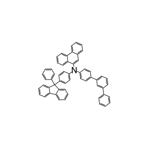 c1ccc(-c2cccc(-c3ccc(N(c4ccc(C5(c6ccccc6)c6ccccc6-c6ccccc65)cc4)c4cc5ccccc5c5ccccc45)cc3)c2)cc1